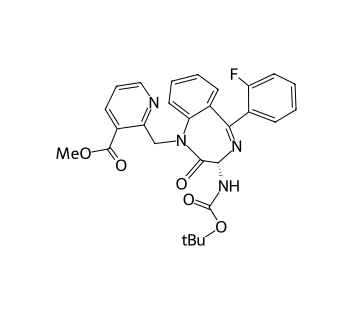 COC(=O)c1cccnc1CN1C(=O)[C@@H](NC(=O)OC(C)(C)C)N=C(c2ccccc2F)c2ccccc21